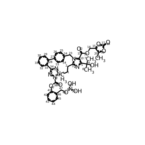 CCCc1nc(C(C)(C)O)c(C(=O)OCc2oc(=O)oc2C)n1Cc1ccc(-c2ccccc2-c2nnn(C(=O)Oc3ccccc3CON(O)O)n2)cc1